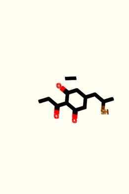 CC.CCC(=O)C1C(=O)CC(CC(C)S)CC1=O